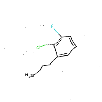 Fc1cccc(CC[SiH3])c1Cl